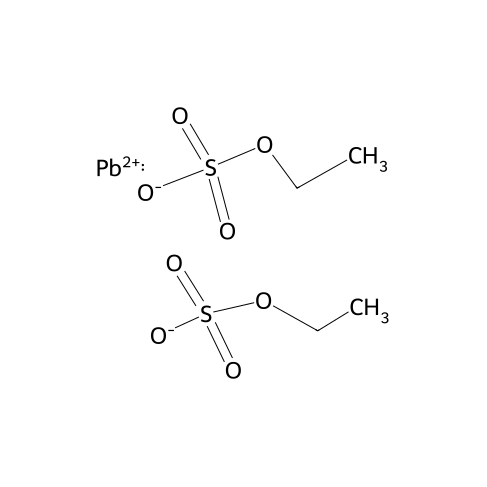 CCOS(=O)(=O)[O-].CCOS(=O)(=O)[O-].[Pb+2]